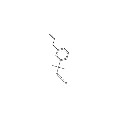 C=CCc1cccc(C(C)(C)N=C=O)c1